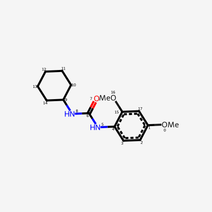 COc1ccc(NC(=O)NC2CCCCC2)c(OC)c1